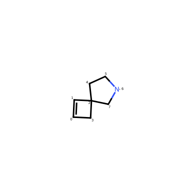 C1=CC2(C1)CC[N]C2